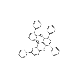 O=P12c3cc(-c4ccccc4)ccc3Oc3c(-c4ccccc4)cc(-c4ccccc4)c(c31)Oc1c(-c3ccccc3)cccc12